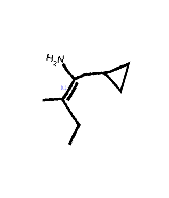 CC/C(C)=C(/N)C1CC1